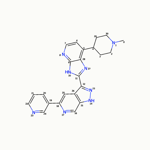 CN1CCC(c2ccnc3[nH]c(-c4n[nH]c5cnc(-c6cccnc6)cc45)nc23)CC1